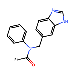 CCC(=O)N(Cc1ccc2nc[nH]c2c1)c1ccccc1